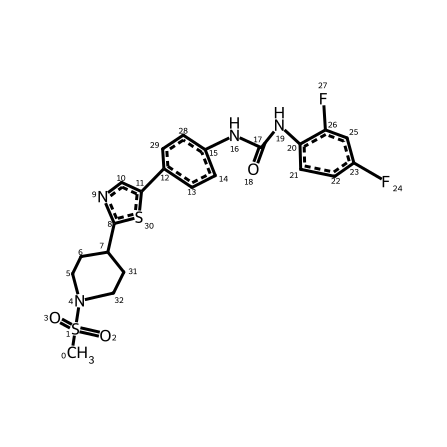 CS(=O)(=O)N1CCC(c2ncc(-c3ccc(NC(=O)Nc4ccc(F)cc4F)cc3)s2)CC1